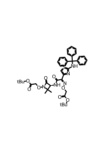 CC(C)(C)OC(=O)CO/N=C(\C(=O)N[C@@H]1C(=O)N(OCC(=O)OC(C)(C)C)C1(C)C)c1csc(NC(c2ccccc2)(c2ccccc2)c2ccccc2)n1